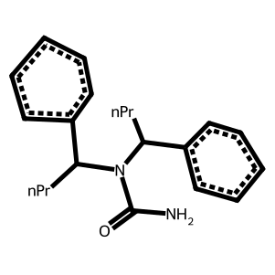 CCCC(c1ccccc1)N(C(N)=O)C(CCC)c1ccccc1